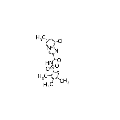 Cc1cc(Cl)c2nc(C(=O)NS(=O)(=O)c3sc(C)c(C)c3C)cn2c1